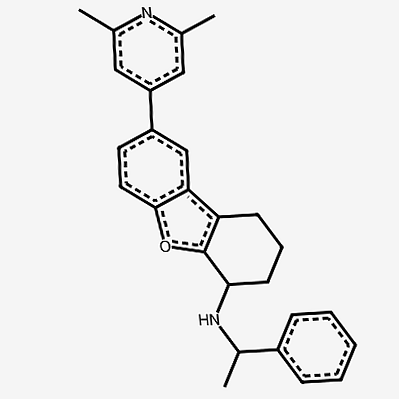 Cc1cc(-c2ccc3oc4c(c3c2)CCCC4NC(C)c2ccccc2)cc(C)n1